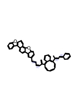 C=C(/C=C\C=C\c1ccc2oc3c(ccc4c3ccc3oc5ccccc5c34)c2c1)c1ccccccc(/C(C)=C/C=C2/C=CC=CC2)c2ccccc12